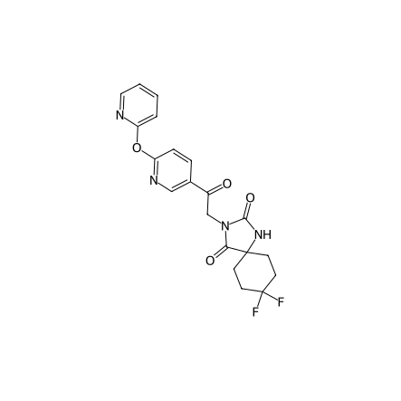 O=C(CN1C(=O)NC2(CCC(F)(F)CC2)C1=O)c1ccc(Oc2ccccn2)nc1